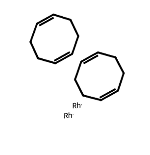 C1=C\CC/C=C\CC/1.C1=C\CC/C=C\CC/1.[Rh].[Rh]